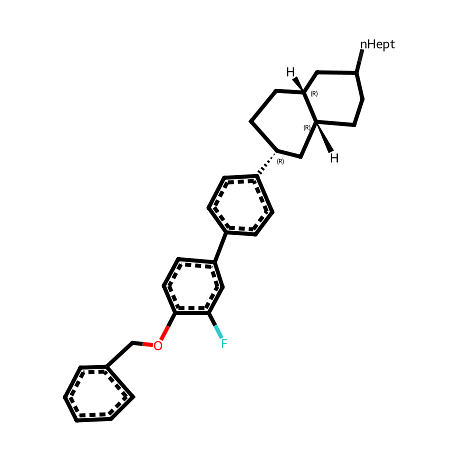 CCCCCCCC1CC[C@@H]2C[C@H](c3ccc(-c4ccc(OCc5ccccc5)c(F)c4)cc3)CC[C@@H]2C1